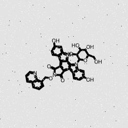 O=C1c2c(c3c4ccc(O)cc4n(C4OC(CO)C(O)C(O)C4O)c3c3[nH]c4cc(O)ccc4c23)C(=O)N1OCc1cccc2cccnc12